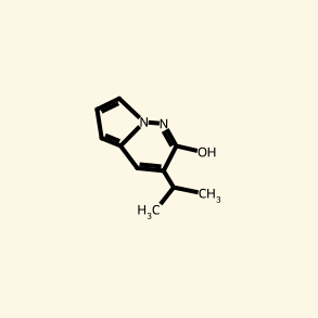 CC(C)c1cc2cccn2nc1O